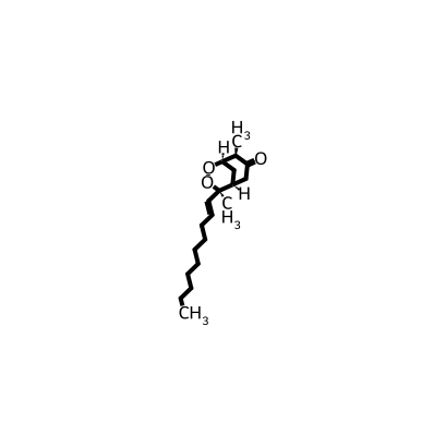 CCCCCCCC/C=C/[C@@]1(C)OO[C@@H]2C[C@H]1CC(=O)[C@@H]2C